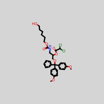 COc1ccc(C(OCC(CNC(=O)OCCCCCCO)OC(=O)C(Cl)Cl)(c2ccccc2)c2ccc(OC)cc2)cc1